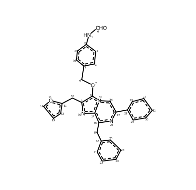 O=CNc1ccc(COc2c(Cc3ccco3)nc3c(Cc4ccccc4)nc(-c4ccccc4)cn23)cc1